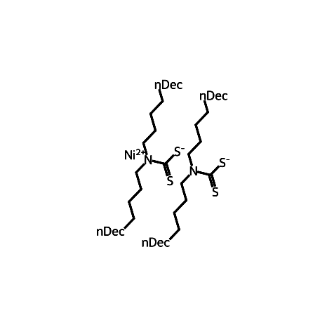 CCCCCCCCCCCCCCN(CCCCCCCCCCCCCC)C(=S)[S-].CCCCCCCCCCCCCCN(CCCCCCCCCCCCCC)C(=S)[S-].[Ni+2]